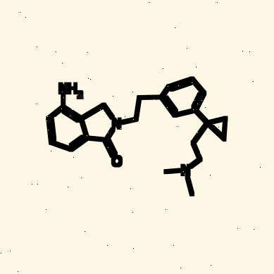 CN(C)CCC1(c2cccc(CCN3Cc4c(N)cccc4C3=O)c2)CC1